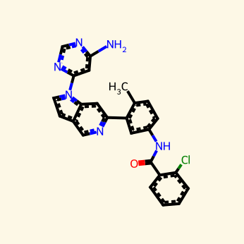 Cc1ccc(NC(=O)c2ccccc2Cl)cc1-c1cc2c(ccn2-c2cc(N)ncn2)cn1